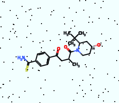 CC(CC(=O)c1ccc(C(N)=S)cc1)C(=O)N1CC[C@@H]([O])CC1C(C)(C)C